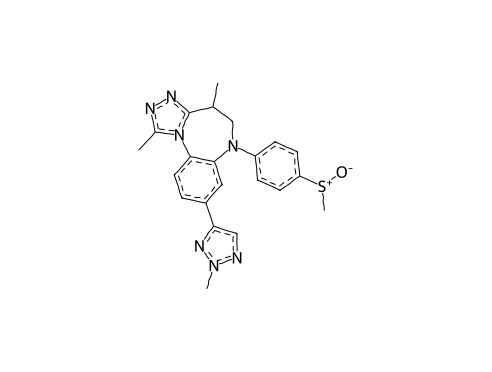 Cc1nnc2n1-c1ccc(-c3cnn(C)n3)cc1N(c1ccc([S+](C)[O-])cc1)CC2C